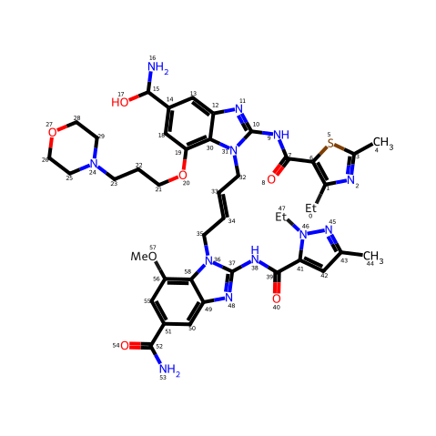 CCc1nc(C)sc1C(=O)Nc1nc2cc(C(N)O)cc(OCCCN3CCOCC3)c2n1C/C=C/Cn1c(NC(=O)c2cc(C)nn2CC)nc2cc(C(N)=O)cc(OC)c21